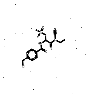 CCN(C#N)C(=O)C(CS(C)(=O)=O)NC(=O)c1ccc(CCl)cc1